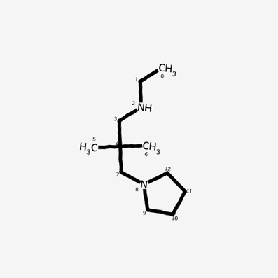 CCNCC(C)(C)CN1CCCC1